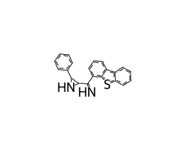 N=C(c1cccc2c1sc1ccccc12)C1NC1c1ccccc1